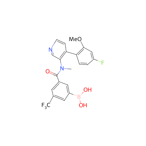 COc1cc(F)ccc1-c1ccncc1N(C)C(=O)c1cc(B(O)O)cc(C(F)(F)F)c1